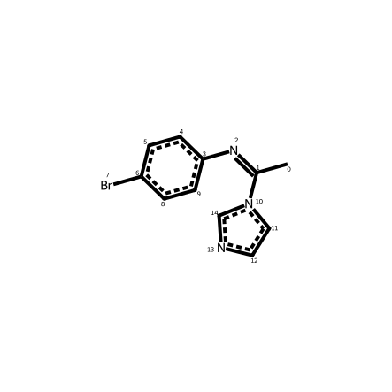 CC(=Nc1ccc(Br)cc1)n1ccnc1